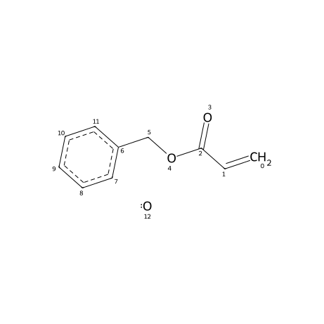 C=CC(=O)OCc1ccccc1.[O]